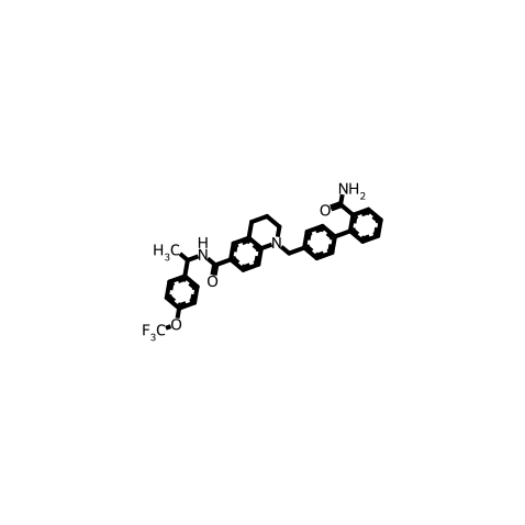 CC(NC(=O)c1ccc2c(c1)CCCN2Cc1ccc(-c2ccccc2C(N)=O)cc1)c1ccc(OC(F)(F)F)cc1